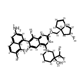 CCc1c(F)ccc2cc(N)cc(-c3c(F)cc4c(N5CCCC(O)(C(F)F)C5)nc(OC[C@@]56CCCN5C[C@H](F)C6)nc4c3F)c12